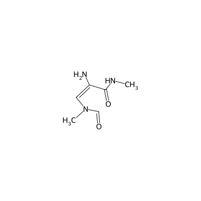 CNC(=O)/C(N)=C\N(C)C=O